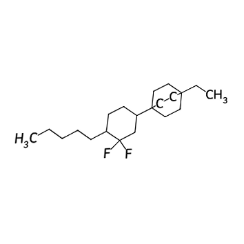 CCCCCC1CCC(C23CCC(CC)(CC2)CC3)CC1(F)F